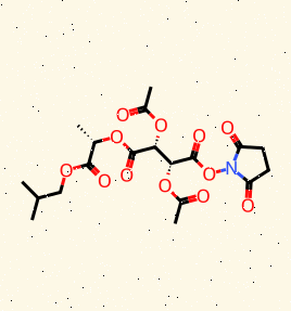 CC(=O)O[C@@H](C(=O)O[C@@H](C)C(=O)OCC(C)C)[C@@H](OC(C)=O)C(=O)ON1C(=O)CCC1=O